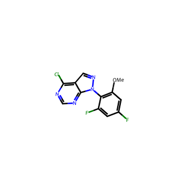 COc1cc(F)cc(F)c1-n1ncc2c(Cl)ncnc21